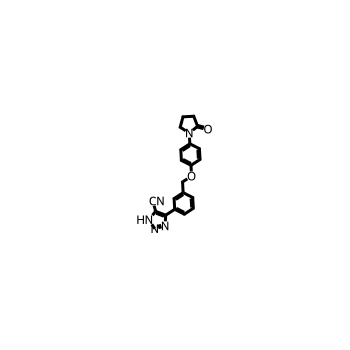 N#Cc1[nH]nnc1-c1cccc(COc2ccc(N3CCCC3=O)cc2)c1